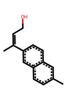 C/C(=C/CO)c1ccc2cc(C)ccc2c1